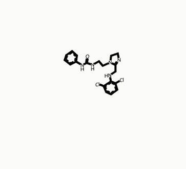 O=C(NCCN1CCN=C1CNc1c(Cl)cccc1Cl)Nc1ccccc1